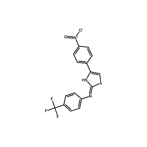 O=[N+]([O-])c1ccc(-c2csc(=Nc3ccc(C(F)(F)F)cc3)[nH]2)cc1